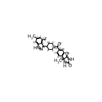 Cc1cc(F)c2c(C3CCN(C(=O)c4ccc([C@@]5(C)NC(=O)NC5=O)cc4)CC3)n[nH]c2c1